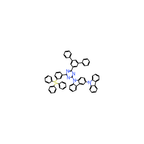 c1ccc(-c2cc(-c3ccccc3)cc(-c3nc(-c4cccc(S(c5ccccc5)(c5ccccc5)c5ccccc5)c4)nc(-n4c5ccccc5c5cc(-n6c7ccccc7c7ccccc76)ccc54)n3)c2)cc1